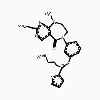 CNCC[C@@H](Oc1cccc(N2CCN(C)c3nc(SC)ncc3C2=O)c1)c1cccs1